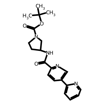 CC(C)(C)OC(=O)N1CCC(NC(=O)c2ccc(-c3ccccn3)cn2)C1